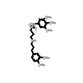 COc1ccc(CCCNCCCS(=O)(=O)Nc2cc(OC)c(OC)c(OC)c2)cc1OC